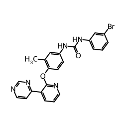 Cc1cc(NC(=O)Nc2cccc(Br)c2)ccc1Oc1ncccc1-c1ccncn1